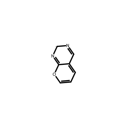 [CH]1N=CC2=CC=COC2=N1